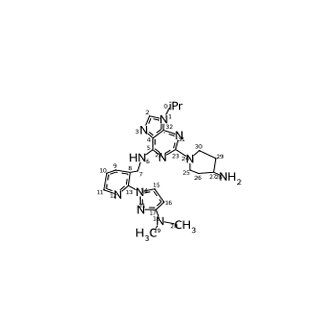 CC(C)n1cnc2c(NCc3cccnc3-n3ccc(N(C)C)n3)nc(N3CCC(N)CC3)nc21